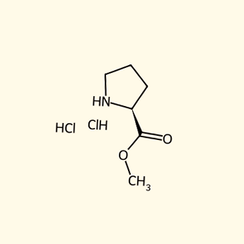 COC(=O)[C@@H]1CCCN1.Cl.Cl